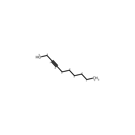 CCCCCCC#CCO